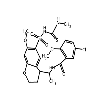 CNC(=S)NS(=O)(=O)c1cc2c(cc1OC)OCCC2C(C)NC(=O)c1cc(Cl)ccc1OC